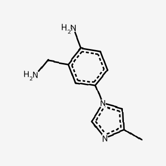 Cc1cn(-c2ccc(N)c(CN)c2)cn1